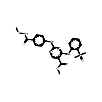 CONC(=O)c1ccc(Nc2ncc(C(=O)OC)c(Nc3ccccc3P(C)(C)=O)n2)cc1